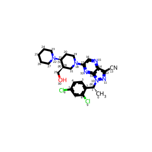 C[C@H](c1ccc(Cl)cc1Cl)n1nc(C#N)c2ncc(N3CC[C@H](N4CCCCC4)[C@H](CO)C3)nc21